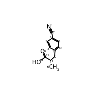 C[C@@H](Cc1ccc(C#N)cc1)C(=O)O